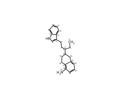 CCN(CCc1c[nH]c2ccccc12)C1CCc2c(N)cccc2C1